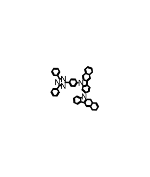 C1=CCC2C=c3c(n(-c4ccc(-c5nc(-c6ccccc6)nc(-c6ccccc6)n5)cc4)c4cc(-n5c6c(c7ccccc75)C=C5CCC=CC5C6)ccc34)=CC2=C1